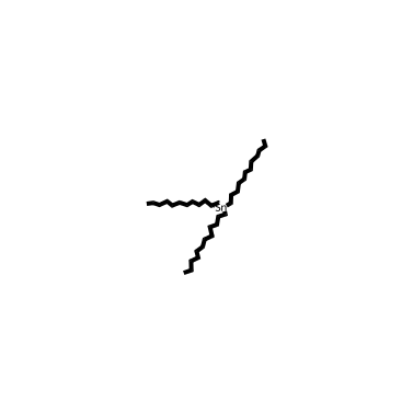 CCCCCCCCCCC[CH2][Sn]([CH2]CCCCCCCCCCC)[CH2]CCCCCCCCCCC